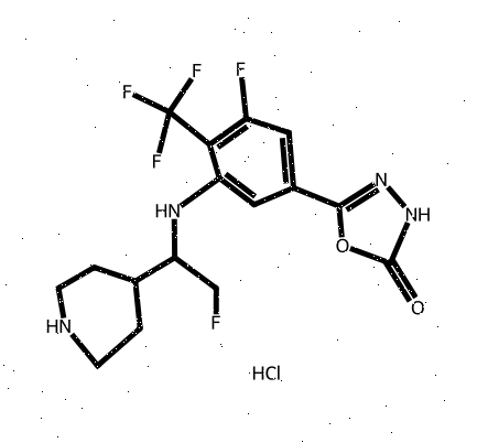 Cl.O=c1[nH]nc(-c2cc(F)c(C(F)(F)F)c(NC(CF)C3CCNCC3)c2)o1